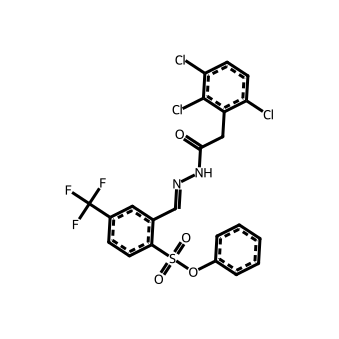 O=C(Cc1c(Cl)ccc(Cl)c1Cl)NN=Cc1cc(C(F)(F)F)ccc1S(=O)(=O)Oc1ccccc1